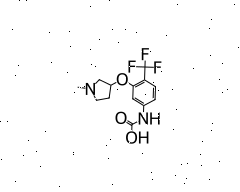 CN1CCC(Oc2cc(NC(=O)O)ccc2C(F)(F)F)C1